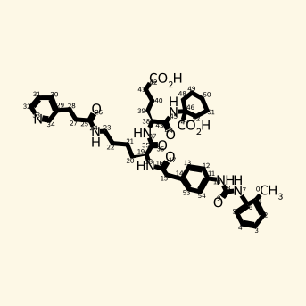 Cc1ccccc1NC(=O)Nc1ccc(CC(=O)N[C@@H](CCCCNC(=O)CCc2cccnc2)C(=O)N[C@@H](CCCC(=O)O)C(=O)NC2(C(=O)O)CCCCC2)cc1